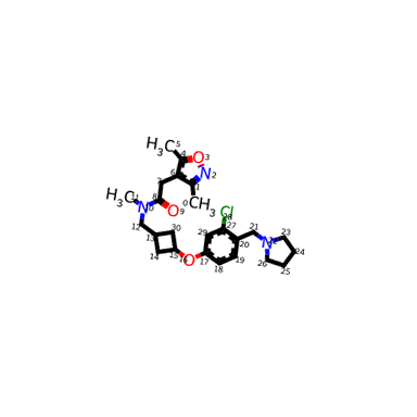 Cc1noc(C)c1CC(=O)N(C)CC1CC(Oc2ccc(CN3CCCC3)c(Cl)c2)C1